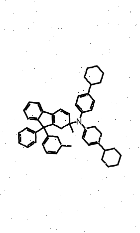 CC1C=CC=C(C2(c3ccccc3)C3=C(C=CC(C)(N(C4=CC=C(C5CCCCC5)CC4)c4ccc(C5CCCCC5)cc4)C3)c3ccccc32)C1